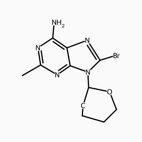 Cc1nc(N)c2nc(Br)n(C3CCCCO3)c2n1